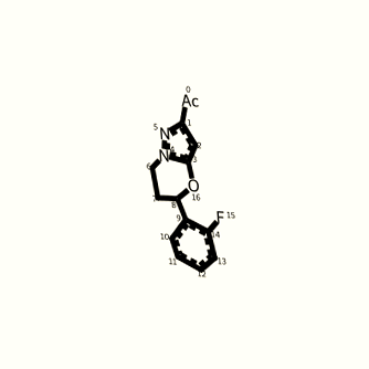 CC(=O)c1cc2n(n1)CCC(c1ccccc1F)O2